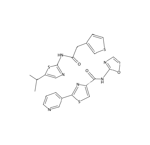 CC(C)c1cnc(NC(=O)Cc2ccsc2)s1.O=C(Nc1ncco1)c1csc(-c2cccnc2)n1